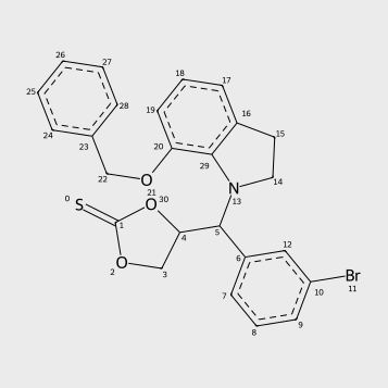 S=C1OCC(C(c2cccc(Br)c2)N2CCc3cccc(OCc4ccccc4)c32)O1